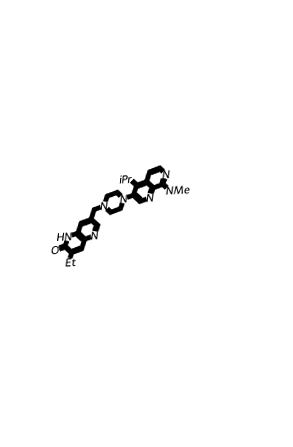 CCc1cc2ncc(CN3CCN(c4cnc5c(NC)nccc5c4C(C)C)CC3)cc2[nH]c1=O